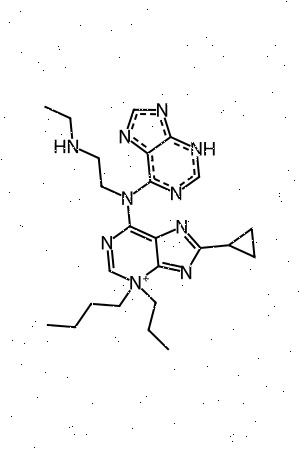 CCCC[N+]1(CCC)C=NC(N(CCNCC)c2nc[nH]c3ncnc2-3)=C2N=C(C3CC3)N=C21